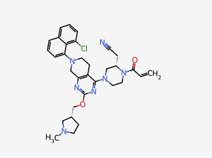 C=CC(=O)N1CCN(c2nc(OC[C@@H]3CCN(C)C3)nc3c2CCN(c2cccc4cccc(Cl)c24)C3)C[C@@H]1CC#N